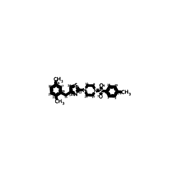 Cc1ccc(S(=O)(=O)N2CCN(c3nc(Cc4cc(C)ccc4C)cs3)CC2)cc1